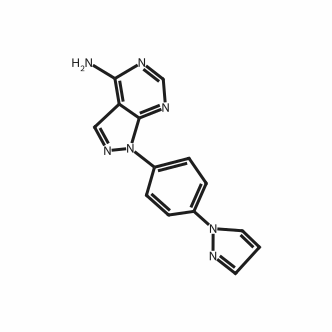 Nc1ncnc2c1cnn2-c1ccc(-n2cccn2)cc1